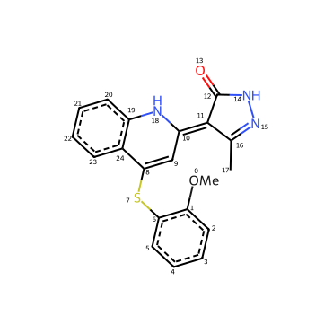 COc1ccccc1SC1=C/C(=C2/C(=O)NN=C2C)Nc2ccccc21